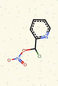 O=[N+]([O-])OC(Cl)c1ccccn1